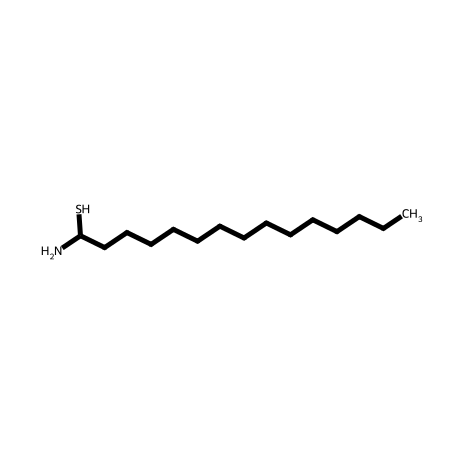 CCCCCCCCCCCCCCC(N)S